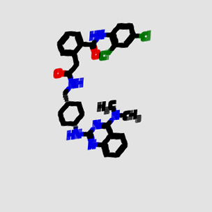 CN(C)c1nc(N[C@H]2CC[C@@H](CNC(=O)Cc3ccccc3C(=O)Nc3ccc(Cl)cc3Cl)CC2)nc2ccccc12